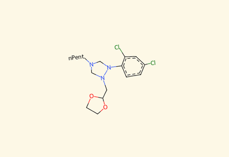 CCCCCN1CN(CC2OCCO2)N(c2ccc(Cl)cc2Cl)C1